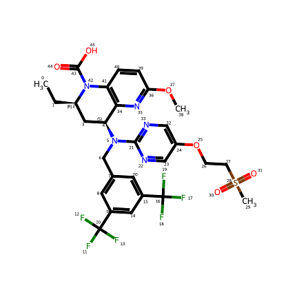 CC[C@@H]1C[C@H](N(Cc2cc(C(F)(F)F)cc(C(F)(F)F)c2)c2ncc(OCCS(C)(=O)=O)cn2)c2nc(OC)ccc2N1C(=O)O